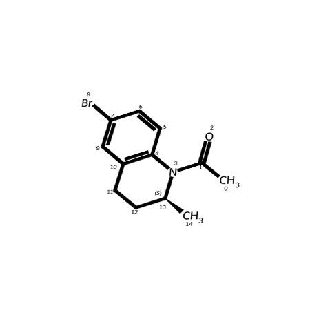 CC(=O)N1c2ccc(Br)cc2CC[C@@H]1C